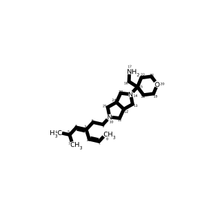 C/C=C\C(=C/C(C)C)CCN1CC2CN(C3(CN)CCOCC3)CC2C1